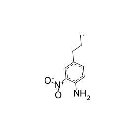 [CH2]CCc1ccc(N)c([N+](=O)[O-])c1